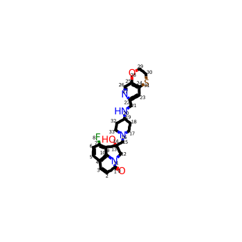 O=c1ccc2ccc(F)c3c2n1CC3(O)CN1CCC(NCc2cc3c(cn2)OCCS3)CC1